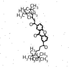 CC(C)(C)N(CCCC(=O)c1ccc2oc3ccc(C(=O)CCCN(C(C)(C)C)C(C)(C)C)cc3c(=O)c2c1)C(C)(C)C